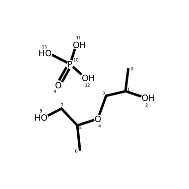 CC(O)COC(C)CO.O=P(O)(O)O